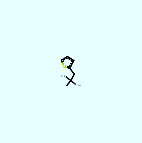 CCCCC(C)(CCC)Cc1cccs1